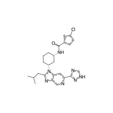 CC(C)Cc1nc2cnc(-c3nc[nH]n3)cc2n1[C@@H]1CCC[C@H](NC(=O)c2ccc(Cl)s2)C1